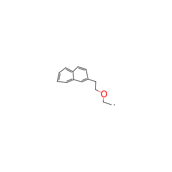 [CH2]COCCc1ccc2ccccc2c1